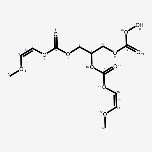 CO/C=C\OC(=O)OCC(COC(=O)OO)OC(=O)O/C=C\OC